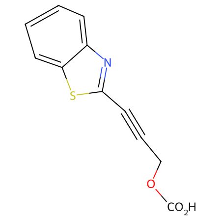 O=C(O)OCC#Cc1nc2ccccc2s1